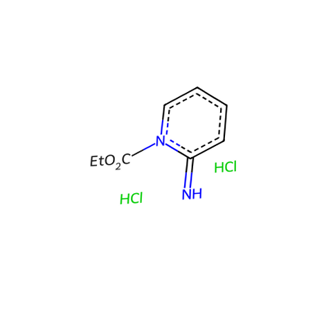 CCOC(=O)n1ccccc1=N.Cl.Cl